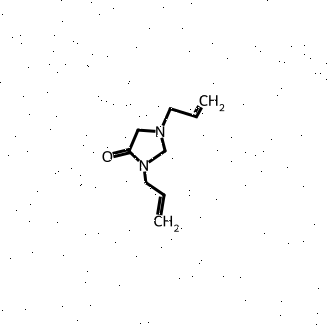 C=CCN1CC(=O)N(CC=C)C1